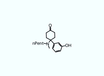 CCCCCN(C)C1(c2cccc(O)c2)CCC(=O)CC1